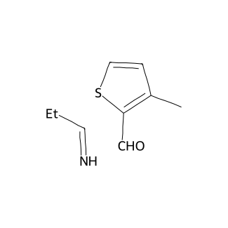 CCC=N.Cc1ccsc1C=O